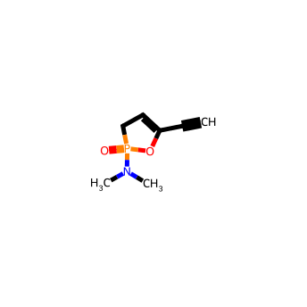 C#CC1=CCP(=O)(N(C)C)O1